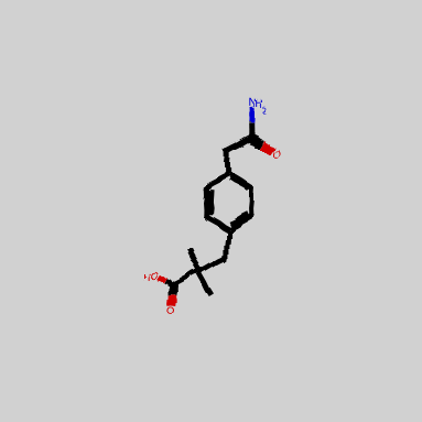 CC(C)(Cc1ccc(CC(N)=O)cc1)C(=O)O